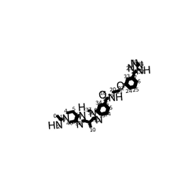 CC(=N)N1CCc2[nH]c(C(C)c3nc4ccc(C(=O)NCCOc5cccc(-c6nnn[nH]6)c5)cc4n3C)nc2C1